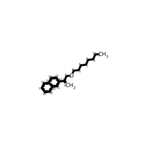 C=C(COCCCCCCCC)c1ccc2ccccc2c1